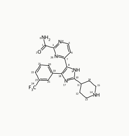 NC(=O)c1nccc(-c2[nH]c(C3CCNCC3)nc2-c2cccc(C(F)(F)F)c2)n1